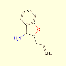 C=CCC1Oc2ccccc2C1N